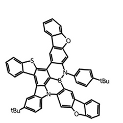 CC(C)(C)c1ccc(N2B3c4cc5c(cc4-n4c6ccc(C(C)(C)C)cc6c6c7c(sc8ccccc87)c(c3c64)-c3cc4c(cc32)oc2ccccc24)oc2ccccc25)cc1